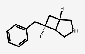 F[C@]1(Cc2ccccc2)C[C@@H]2CNCC21